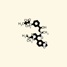 CN(CC(O)c1cccc(OC(=O)C(C)(C)C)c1)C(=O)c1cnc(N(C)C)nc1-c1ccc2c(c1)OCO2